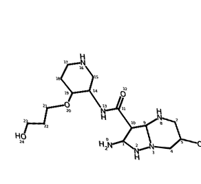 NC1NN2CC(Cl)CNC2C1C(=O)NC1CNCCC1OCCCO